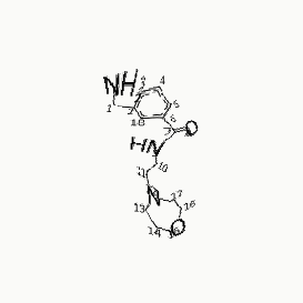 NCc1cccc(C(=O)NCCN2CCOCC2)c1